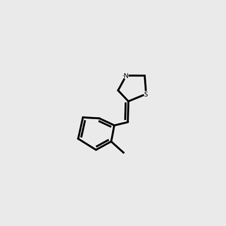 Cc1ccccc1C=C1C[N]CS1